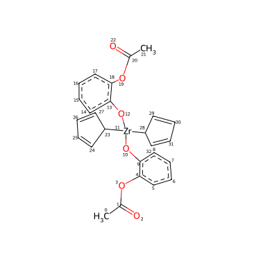 CC(=O)Oc1ccccc1[O][Zr]([O]c1ccccc1OC(C)=O)([CH]1C=CC=C1)[CH]1C=CC=C1